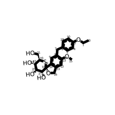 CCOc1ccc(Cc2cc3c(cc2OC)CO[C@]32S[C@H](CO)[C@@H](O)[C@H](O)[C@H]2O)cc1